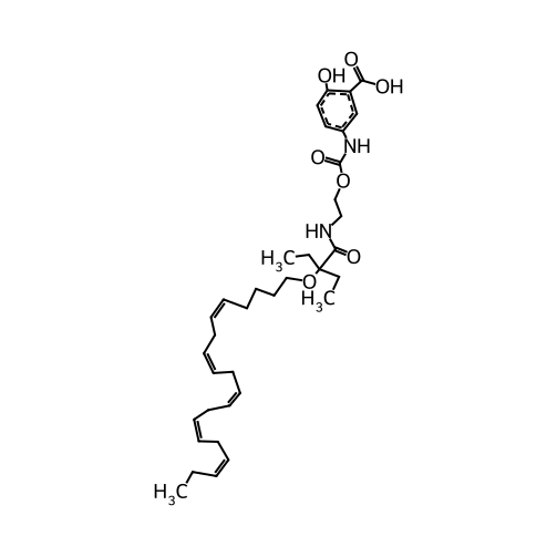 CC/C=C\C/C=C\C/C=C\C/C=C\C/C=C\CCCCOC(CC)(CC)C(=O)NCCOC(=O)Nc1ccc(O)c(C(=O)O)c1